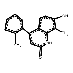 Cc1ccccc1-c1cc(=O)[nH]c2c(C)c(O)ccc12